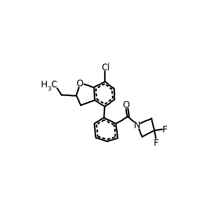 CCC1Cc2c(-c3ccccc3C(=O)N3CC(F)(F)C3)ccc(Cl)c2O1